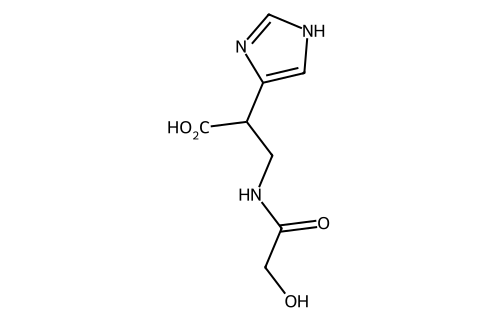 O=C(CO)NCC(C(=O)O)c1c[nH]cn1